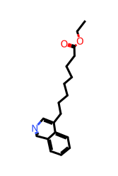 CCOC(=O)CCCCCCCc1cncc2ccccc12